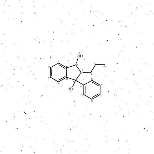 CCCN1C(O)c2ccccc2C1(O)c1ccccc1